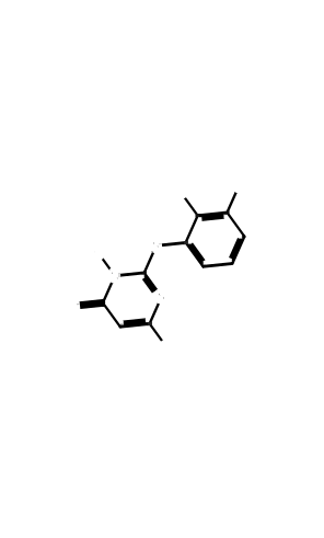 Cn1c(Nc2cccc(C(F)(F)F)c2F)nc(C(F)(F)F)cc1=O